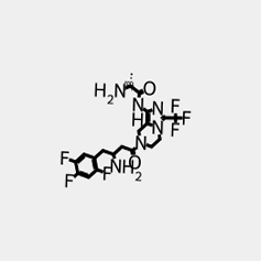 C[C@@H](N)C(=O)Nc1nc(C(F)(F)F)n2c1CN(C(=O)CC(N)Cc1cc(F)c(F)cc1F)CC2